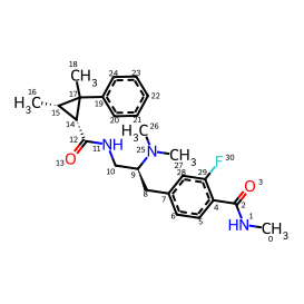 CNC(=O)c1ccc(C[C@@H](CNC(=O)[C@@H]2[C@H](C)C2(C)c2ccccc2)N(C)C)cc1F